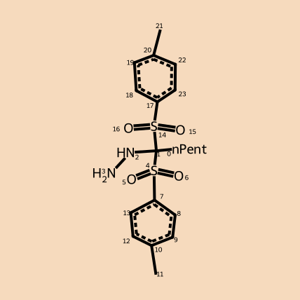 CCCCCC(NN)(S(=O)(=O)c1ccc(C)cc1)S(=O)(=O)c1ccc(C)cc1